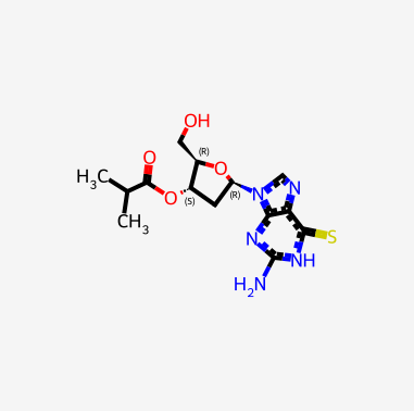 CC(C)C(=O)O[C@H]1C[C@H](n2cnc3c(=S)[nH]c(N)nc32)O[C@@H]1CO